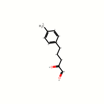 Cc1ccc(CCCC(=O)C=O)cc1